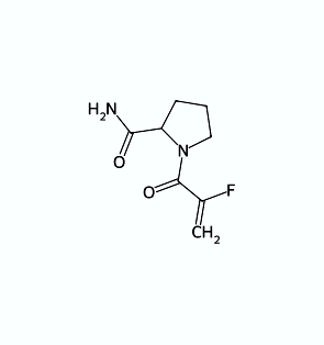 C=C(F)C(=O)N1CCCC1C(N)=O